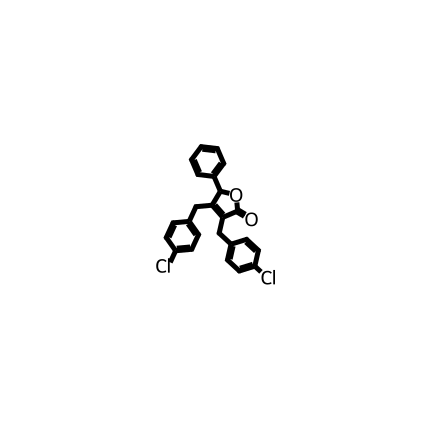 O=C1OC(c2ccccc2)C(Cc2ccc(Cl)cc2)=C1Cc1ccc(Cl)cc1